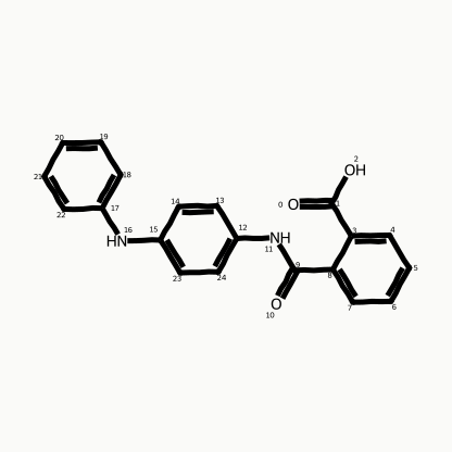 O=C(O)c1ccccc1C(=O)Nc1ccc(Nc2ccccc2)cc1